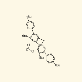 CC(C)(C)c1ccc(-c2cc3c(cc2C(C)(C)C)-c2cc(C(C)(C)C)c(-c4ccc(C(C)(C)C)cc4)cc2[CH]3)cc1.[Cl][Zr][Cl]